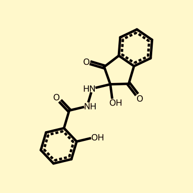 O=C(NNC1(O)C(=O)c2ccccc2C1=O)c1ccccc1O